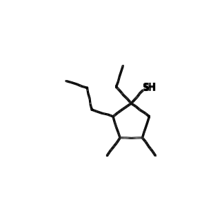 CCCC1C(C)C(C)CC1(S)CC